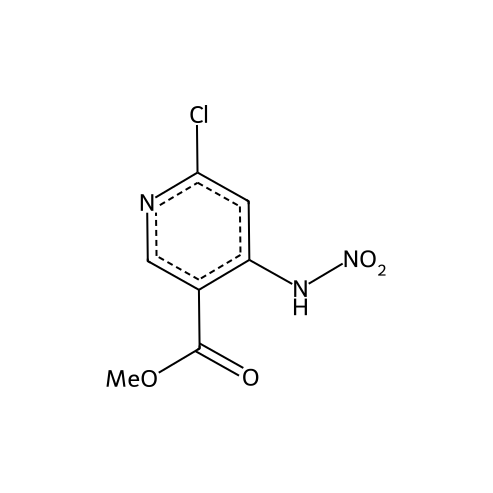 COC(=O)c1cnc(Cl)cc1N[N+](=O)[O-]